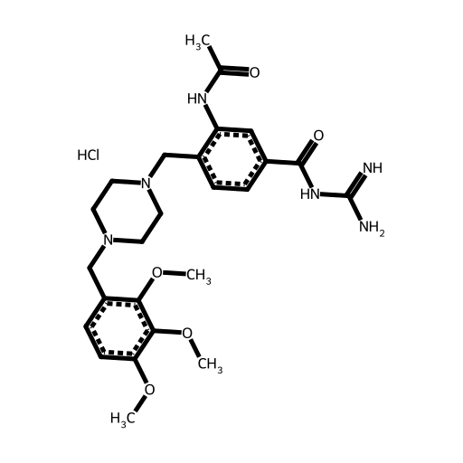 COc1ccc(CN2CCN(Cc3ccc(C(=O)NC(=N)N)cc3NC(C)=O)CC2)c(OC)c1OC.Cl